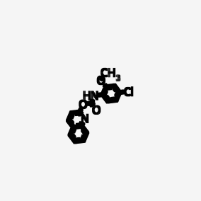 COc1cc(Cl)ccc1NC(=O)Oc1ccc2ccccc2n1